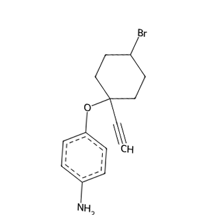 C#CC1(Oc2ccc(N)cc2)CCC(Br)CC1